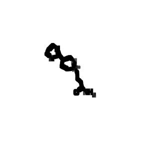 NC(=O)CCC[n+]1ccc(-c2ncccn2)cn1